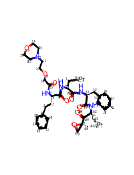 CC(C)C[C@H](NC(=O)[C@H](CCc1ccccc1)NC(=O)COCCN1CCOCC1)C(=O)N[C@@H](Cc1ccccc1)C(=O)N[C@@H](CC(C)C)C(=O)[C@@]1(C)CO1